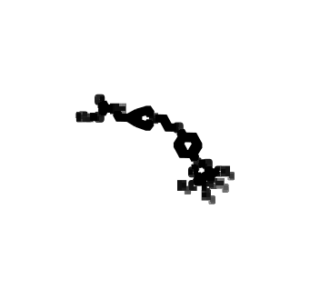 CC(C)(C)OC(=O)NCC1C2CN(CCOc3ccc(B4OC(C)(C)C(C)(C)O4)cc3)CC12